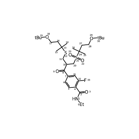 CCNC(=O)c1ccc(C(=O)C(CSC(C)(C)CCOC(C)(C)C)CS(=O)(=O)C(C)(C)CCOC(C)(C)C)cc1F